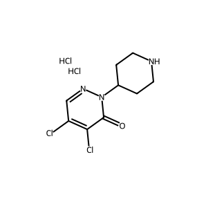 Cl.Cl.O=c1c(Cl)c(Cl)cnn1C1CCNCC1